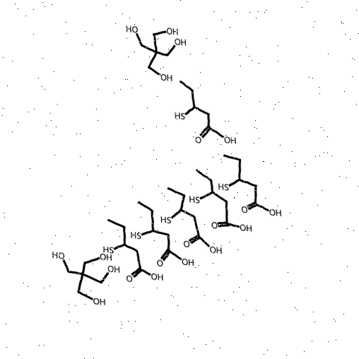 CCC(S)CC(=O)O.CCC(S)CC(=O)O.CCC(S)CC(=O)O.CCC(S)CC(=O)O.CCC(S)CC(=O)O.CCC(S)CC(=O)O.OCC(CO)(CO)CO.OCC(CO)(CO)CO